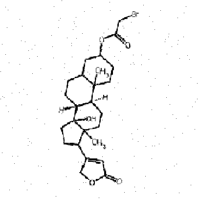 CC12CCC(OC(=O)CBr)CC1CC[C@@H]1[C@@H]2CCC2(C)C(C3=CC(=O)OC3)CCC12O